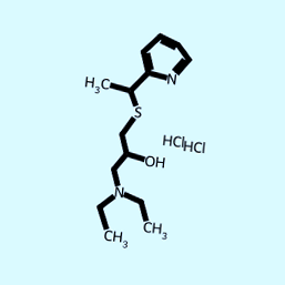 CCN(CC)CC(O)CSC(C)c1ccccn1.Cl.Cl